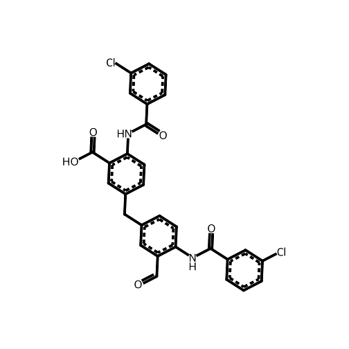 O=Cc1cc(Cc2ccc(NC(=O)c3cccc(Cl)c3)c(C(=O)O)c2)ccc1NC(=O)c1cccc(Cl)c1